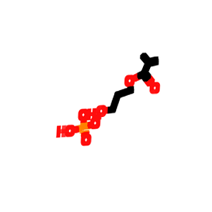 C=C(C)C(=O)OCCCOOP(=O)(O)O